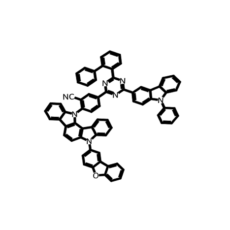 N#Cc1cc(-c2nc(-c3ccc4c(c3)c3ccccc3n4-c3ccccc3)nc(-c3ccccc3-c3ccccc3)n2)ccc1-n1c2ccccc2c2ccc3c(c4ccccc4n3-c3ccc4oc5ccccc5c4c3)c21